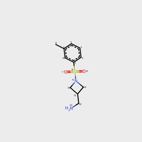 Cc1cccc(S(=O)(=O)N2CC(CN)C2)c1